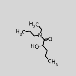 CCC[C@H](O)C(=O)N(CC)CCC